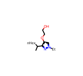 CCCCCCC(C)c1nn(CC)cc1OCCO